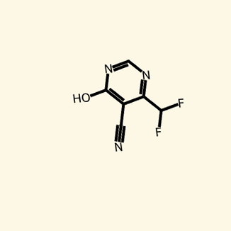 N#Cc1c(O)ncnc1C(F)F